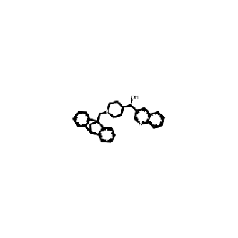 O[C@@H](c1cnc2ccccc2c1)C1CCN(CC23CC(c4ccccc42)c2ccccc23)CC1